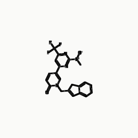 C[S+]([O-])c1nc(-c2ccc(=O)n(CC3=Cc4ccccc4C3)c2)cc(C(F)(F)F)n1